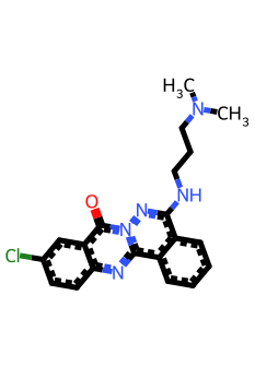 CN(C)CCCNc1nn2c(=O)c3cc(Cl)ccc3nc2c2ccccc12